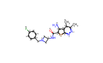 Cc1nnc2sc(C(=O)NC3CN(Cc4ccc(F)cc4)C3)c(N)c2c1C